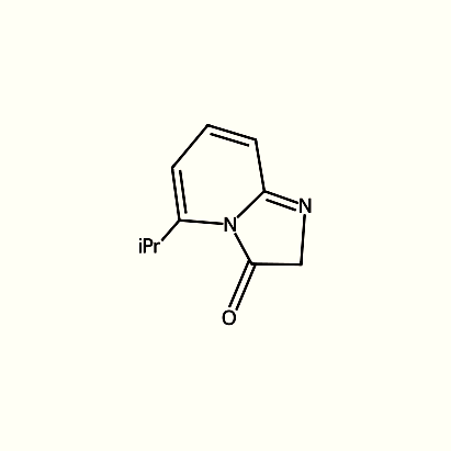 CC(C)C1=CC=CC2=NCC(=O)N12